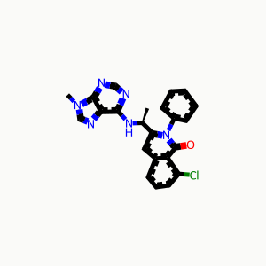 C[C@H](Nc1ncnc2c1ncn2C)c1cc2cccc(Cl)c2c(=O)n1-c1ccccc1